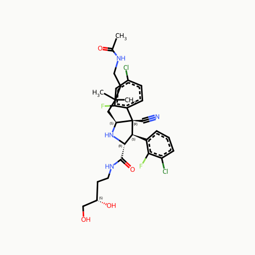 CC(=O)NCCC(C)(C)C[C@@H]1N[C@@H](C(=O)NCC[C@H](O)CO)[C@H](c2cccc(Cl)c2F)[C@@]1(C#N)c1ccc(Cl)cc1F